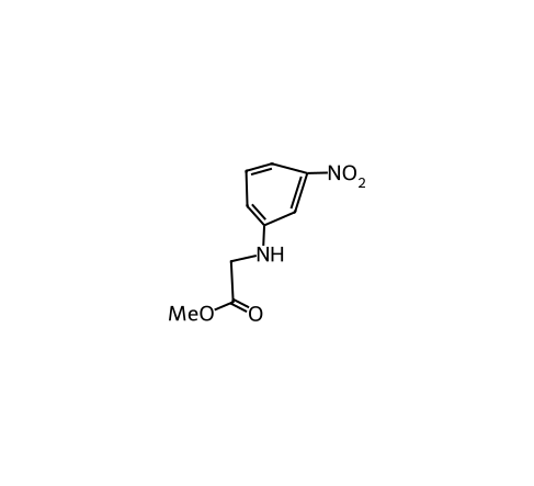 COC(=O)CNc1cccc([N+](=O)[O-])c1